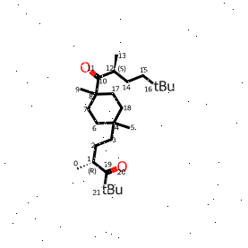 C[C@H](CCC1(C)CCC(C)(C(=O)[C@@H](C)CCC(C)(C)C)CC1)C(=O)C(C)(C)C